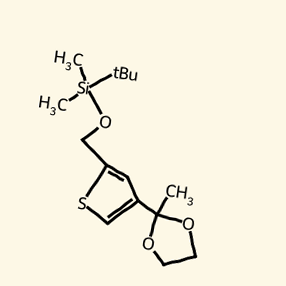 CC1(c2csc(CO[Si](C)(C)C(C)(C)C)c2)OCCO1